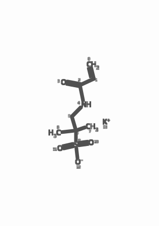 C=CC(=O)NCC(C)(C)S(=O)(=O)[O-].[K+]